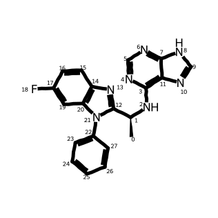 C[C@H](Nc1ncnc2[nH]cnc12)c1nc2ccc(F)cc2n1-c1ccccc1